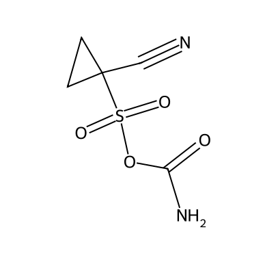 N#CC1(S(=O)(=O)OC(N)=O)CC1